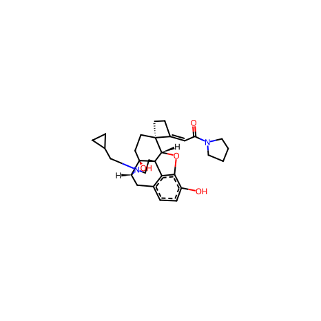 O=C(/C=C1\CC[C@]12CC[C@@]1(O)[C@H]3Cc4ccc(O)c5c4[C@@]1(CCN3CC1CC1)[C@H]2O5)N1CCCC1